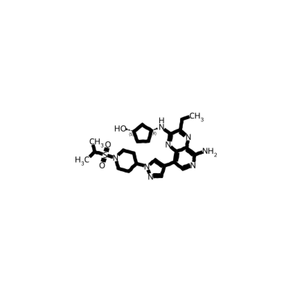 CCc1nc2c(N)ncc(-c3cnn(C4CCN(S(=O)(=O)C(C)C)CC4)c3)c2nc1N[C@@H]1CC[C@H](O)C1